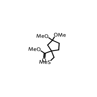 COC(=O)C1(CSC)CCC(OC)(OC)C1